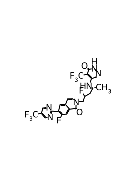 C[C@@H](CC(F)Cn1ccc2cc(-c3ncc(C(F)(F)F)cn3)c(F)cc2c1=O)Nc1cn[nH]c(=O)c1C(F)(F)F